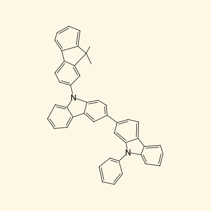 CC1(C)c2ccccc2-c2ccc(-n3c4ccccc4c4cc(-c5ccc6c7ccccc7n(-c7ccccc7)c6c5)ccc43)cc21